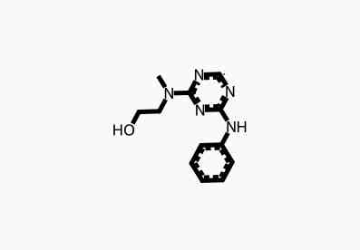 CN(CCO)c1n[c]nc(Nc2ccccc2)n1